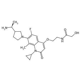 Cc1c(N2CCC([C@H](C)N)C2)c(F)cc2c(OCCNC(=O)CO)cc(=O)n(C3CC3)c12